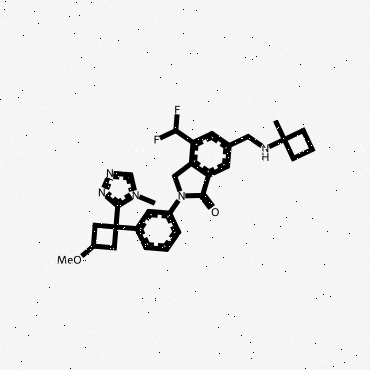 COC1CC(c2cccc(N3Cc4c(cc(CNC5(C)CCC5)cc4C(F)F)C3=O)c2)(c2nncn2C)C1